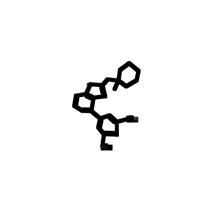 CC1(CC2=Cc3c(cccc3-c3cc(C(C)(C)C)cc(C(C)(C)C)c3)[CH]2)CCCCC1